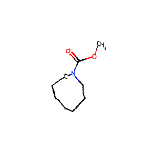 COC(=O)N1CCC[CH]CCC1